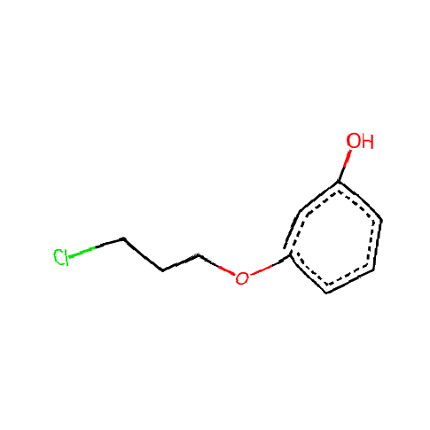 Oc1cccc(OCCCCl)c1